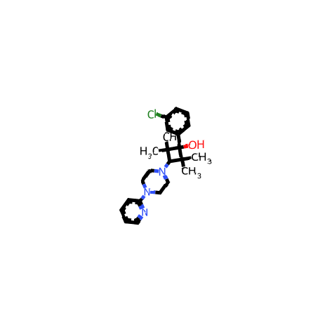 CC1(C)C(N2CCN(c3ccccn3)CC2)C(C)(C)C1(O)c1cccc(Cl)c1